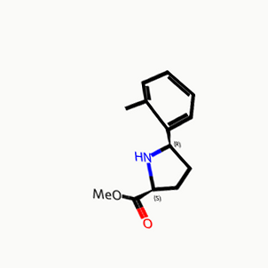 COC(=O)[C@@H]1CC[C@H](c2ccccc2C)N1